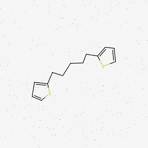 c1csc(CCCCCc2cccs2)c1